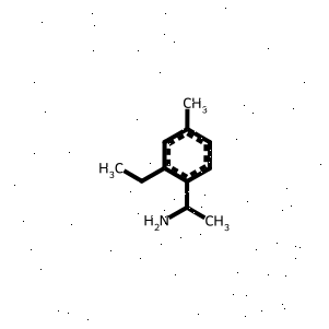 CCc1cc(C)ccc1C(C)N